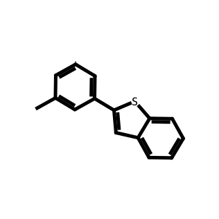 Cc1c[c]cc(-c2cc3ccccc3s2)c1